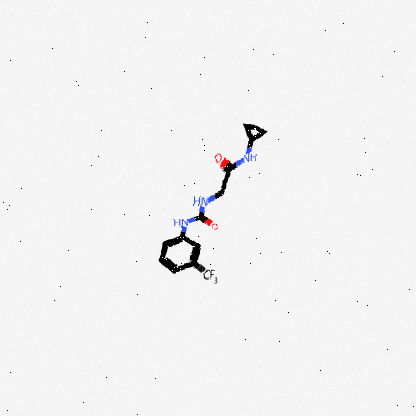 O=C(CNC(=O)Nc1cccc(C(F)(F)F)c1)NC1CC1